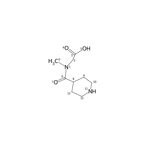 CN(CC(=O)O)C(=O)C1CCNCC1